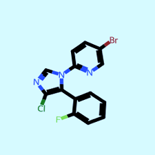 Fc1ccccc1-c1c(Cl)ncn1-c1ccc(Br)cn1